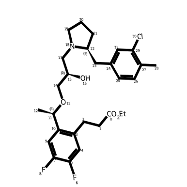 CCOC(=O)CCc1cc(F)c(F)cc1[C@@H](C)OC[C@H](O)CN1CCC[C@H]1Cc1ccc(C)c(Cl)c1